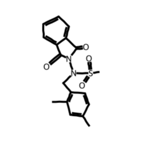 Cc1ccc(CN(N2C(=O)c3ccccc3C2=O)S(C)(=O)=O)c(C)c1